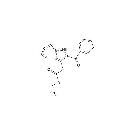 CCOC(=O)Cc1c(C(=O)c2ccccc2)[nH]c2ccccc12